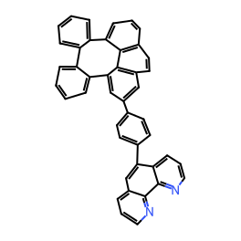 c1cnc2c(c1)cc(-c1ccc(-c3cc4ccc5cccc6c7ccccc7c7ccccc7c(c3)c4c56)cc1)c1cccnc12